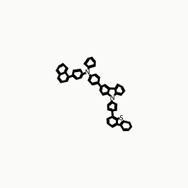 C1=Cc2c(sc3c(-c4ccc(-n5c6ccccc6c6cc(-c7ccc(N(c8ccccc8)c8ccc(-c9cccc%10ccccc9%10)cc8)cc7)ccc65)cc4)cccc23)CC1